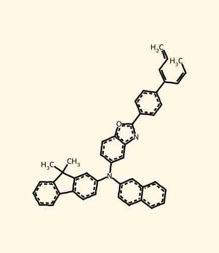 C=C/C=C(\C=C/C)c1ccc(-c2nc3cc(N(c4ccc5c(c4)C(C)(C)c4ccccc4-5)c4ccc5ccccc5c4)ccc3o2)cc1